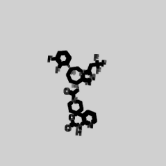 O=C1Nc2ncccc2C2(CCN(C(=O)C[C@@H]3CC[C@H](c4cccc(F)c4F)Cn4c(CC(F)(F)F)nnc43)CC2)O1